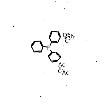 CC(=O)[CH-]C(C)=O.[C-]#[O+].[Rh].c1ccc(P(c2ccccc2)c2ccccc2)cc1